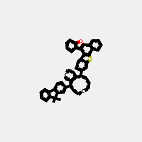 CC1(C)c2ccccc2-c2ccc(-c3ccccccc(-c4ccc5c(c4)sc4c6ccccc6c6oc7ccccc7c6c54)c4ccccc34)cc21